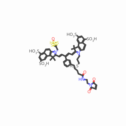 CC1(C)C(/C=C/C(=C/C=C2/N(CCCS(=O)(=O)O)c3ccc4c(S(=O)(=O)O)cc(S(=O)(=O)O)cc4c3C2(C)C)c2cccc(CCCCC(=O)NCCN3C(=O)C=CC3=O)c2)=[N+](CC23S[SH]2(=O)S3)c2ccc3c(S(=O)(=O)O)cc(S(=O)(=O)O)cc3c21